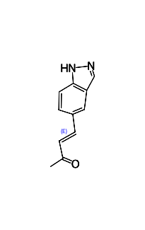 CC(=O)/C=C/c1ccc2[nH]ncc2c1